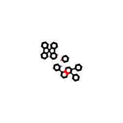 c1ccc(-c2ccc(N(c3ccccc3-c3ccccc3)c3cccc4c3Oc3ccc5c(c3O4)-c3ccccc3C53c4ccccc4-c4ccccc43)cc2-c2ccccc2)cc1